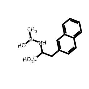 CB(O)NC(Cc1ccc2ccccc2c1)C(=O)O